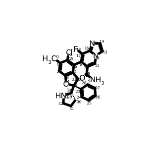 Cc1cc2c(c(-c3c(C(N)=O)cn4ccnc4c3F)c1Cl)C[C@](c1ccccc1)([C@@H]1CCCN1)O2